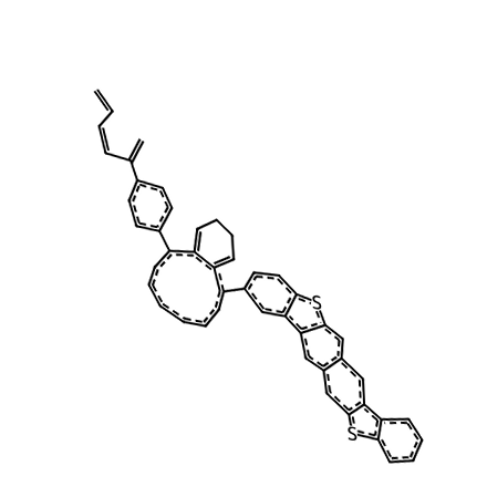 C=C/C=C\C(=C)c1ccc(-c2ccccccc(-c3ccc4sc5cc6cc7c(cc6cc5c4c3)sc3ccccc37)c3c2=CCCC=3)cc1